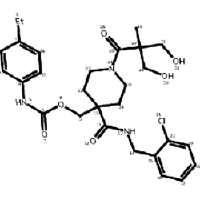 CCc1ccc(NC(=O)OCC2(C(=O)NCc3ccccc3Cl)CCN(C(=O)C(C)(CO)CO)CC2)cc1